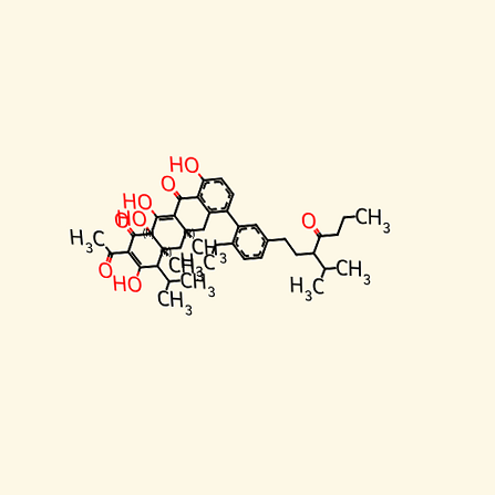 CCCC(=O)C(CCc1ccc(CC)c(-c2ccc(O)c3c2C[C@]2(C)C[C@]4(C)C(C(C)C)C(O)=C(C(C)=O)C(=O)[C@]4(O)C(O)=C2C3=O)c1)C(C)C